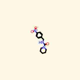 O=C(NCc1ccc([N+](=O)[O-])cc1)N1CCCCC1